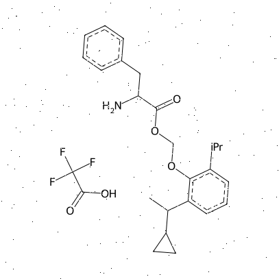 CC(C)c1cccc(C(C)C2CC2)c1OCOC(=O)C(N)Cc1ccccc1.O=C(O)C(F)(F)F